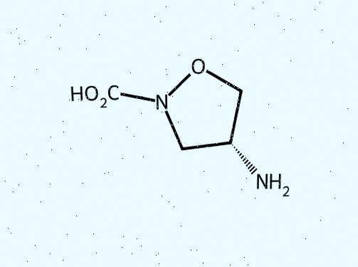 N[C@H]1CON(C(=O)O)C1